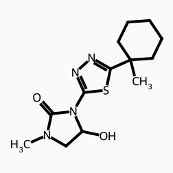 CN1CC(O)N(c2nnc(C3(C)CCCCC3)s2)C1=O